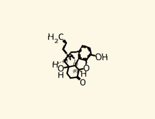 C=CCN1CC[C@]23c4c5ccc(O)c4O[C@H]2C(=O)CCC3(O)[C@H]1C5